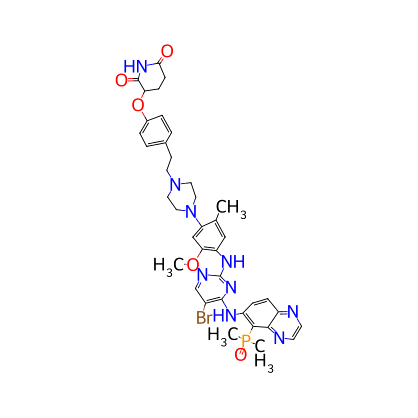 COc1cc(N2CCN(CCc3ccc(OC4CCC(=O)NC4=O)cc3)CC2)c(C)cc1Nc1ncc(Br)c(Nc2ccc3nccnc3c2P(C)(C)=O)n1